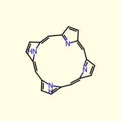 C1=Cc2cc3ccc(cc4ccc(cc5nc(cc1n2)C=C5)[nH]4)[nH]3